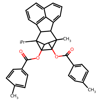 Cc1ccc(C(=O)OC2C(OC(=O)c3ccc(C)cc3)C3(C(C)C)CCC2(C)C2c4cccc5cccc(c45)C23)cc1